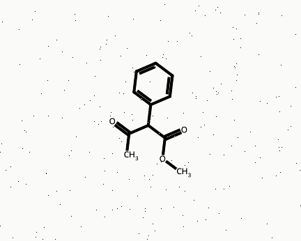 COC(=O)C(C(C)=O)c1ccccc1